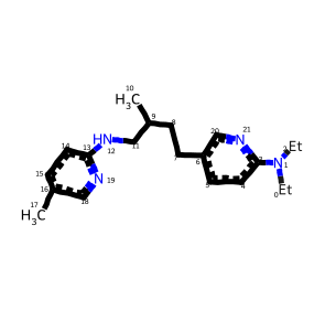 CCN(CC)c1ccc(CCC(C)CNc2ccc(C)cn2)cn1